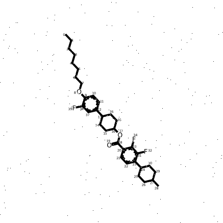 CCCCCCCCOc1ccc(C2CCC(OC(=O)c3ccc(C4CCC(C)CC4)c(F)c3F)CC2)cc1F